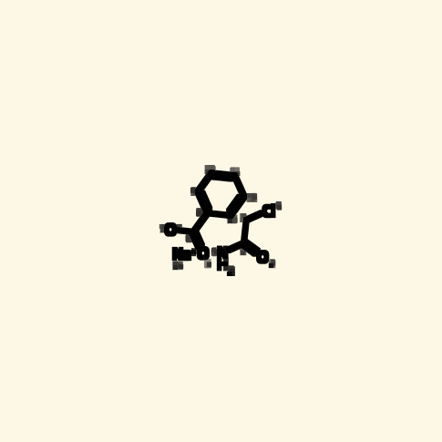 NC(=O)CCl.O=C([O-])c1ccccc1.[Na+]